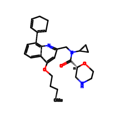 COCCCOc1cc(CN(C(=O)[C@H]2CNCCO2)C2CC2)nc2c(C3=CCCC=C3)cccc12